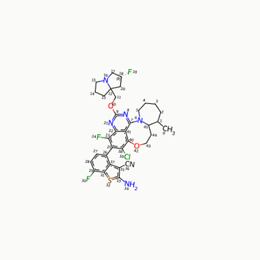 CC1CCCCN2c3nc(OCC45CCCN4C[C@H](F)C5)nc4c(F)c(-c5ccc(F)c6sc(N)c(C#N)c56)c(Cl)c(c34)OCCC12